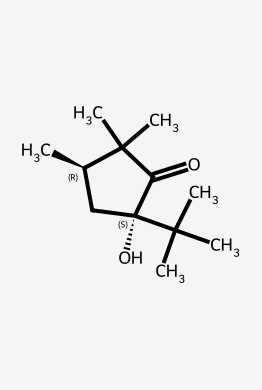 C[C@@H]1C[C@](O)(C(C)(C)C)C(=O)C1(C)C